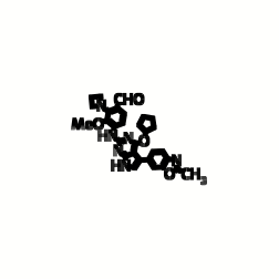 COc1c(Nc2nc(OC3CCCC3)c3c(-c4ccc5nc(C)oc5c4)c[nH]c3n2)ccc(C=O)c1N1CCC1